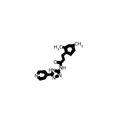 Cc1ccc(CCC(=O)Nc2nnc(-c3ccncc3)[nH]2)c(C)c1